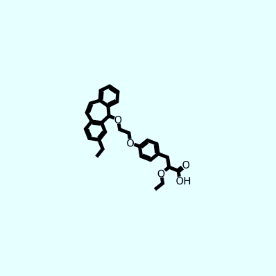 CCOC(Cc1ccc(OCCOC2c3ccccc3C=Cc3ccc(CC)cc32)cc1)C(=O)O